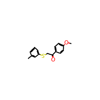 COc1ccc(C(=O)CSc2cccc(C)c2)cc1